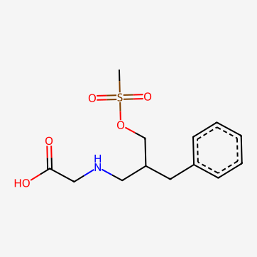 CS(=O)(=O)OCC(CNCC(=O)O)Cc1ccccc1